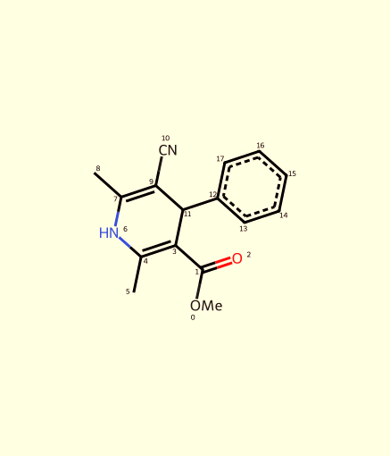 COC(=O)C1=C(C)NC(C)=C(C#N)C1c1ccccc1